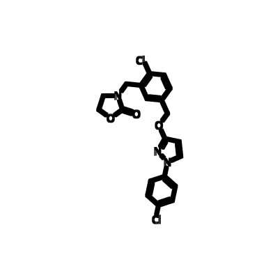 O=C1OCCN1Cc1cc(COc2ccn(-c3ccc(Cl)cc3)n2)ccc1Cl